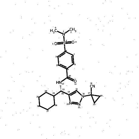 CN(C)S(=O)(=O)c1ccc(C(=O)N[C@H](c2cn(C3(C#N)CC3)nn2)C2CCCCC2)cc1